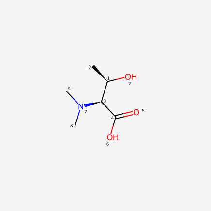 C[C@@H](O)[C@@H](C(=O)O)N(C)C